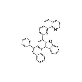 c1ccc(-c2nc3ccccc3c3c2cc(-c2ccc4ccc5cccnc5c4n2)c2oc4ccccc4c23)cc1